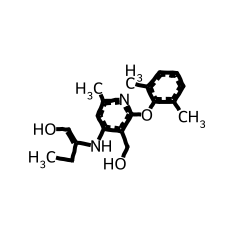 CCC(=CO)Nc1cc(C)nc(Oc2c(C)cccc2C)c1CO